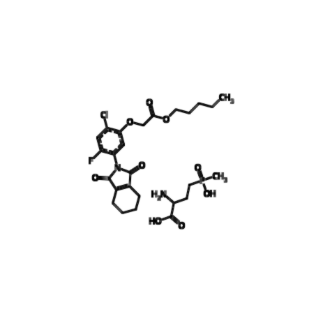 CCCCCOC(=O)COc1cc(N2C(=O)C3=C(CCCC3)C2=O)c(F)cc1Cl.CP(=O)(O)CCC(N)C(=O)O